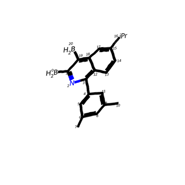 Bc1nc(-c2cc(C)cc(C)c2)c2ccc(C(C)C)cc2c1B